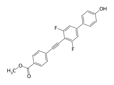 COC(=O)c1ccc(C#Cc2c(F)cc(-c3ccc(O)cc3)cc2F)cc1